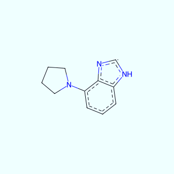 [c]1nc2c(N3CCCC3)cccc2[nH]1